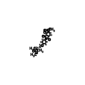 COC(=O)C(C)(C)CCCOc1ccc(N2C(=O)c3ccc(OC)c(OC)c3C2=O)cc1